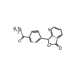 NC(=O)c1ccc(C2OC(=O)c3cccnc32)cc1